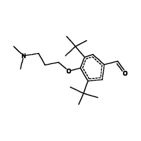 CN(C)CCCOc1c(C(C)(C)C)cc(C=O)cc1C(C)(C)C